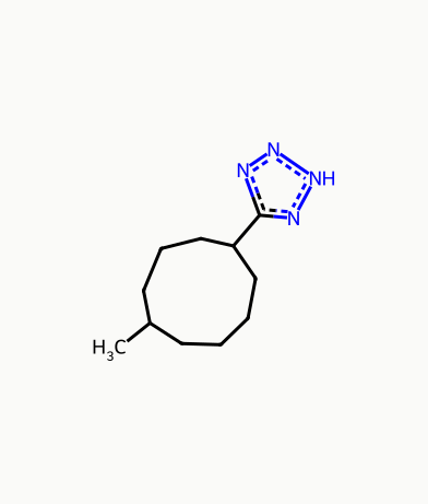 CC1CCCCC(c2nn[nH]n2)CCC1